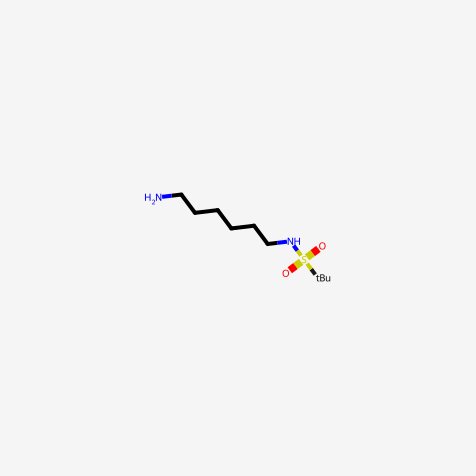 CC(C)(C)S(=O)(=O)NCCCCCCN